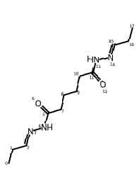 CCC=NNC(=O)CCCCC(=O)NN=CCC